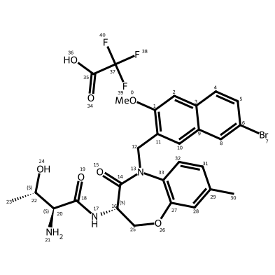 COc1cc2ccc(Br)cc2cc1CN1C(=O)[C@@H](NC(=O)[C@@H](N)[C@H](C)O)COc2cc(C)ccc21.O=C(O)C(F)(F)F